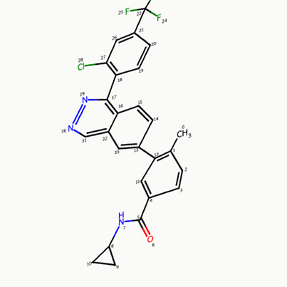 Cc1ccc(C(=O)NC2CC2)cc1-c1ccc2c(-c3ccc(C(F)(F)F)cc3Cl)nncc2c1